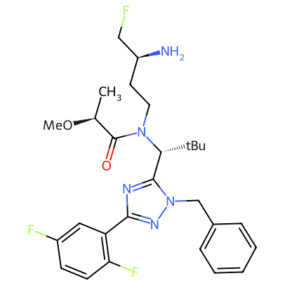 CO[C@@H](C)C(=O)N(CC[C@H](N)CF)[C@@H](c1nc(-c2cc(F)ccc2F)nn1Cc1ccccc1)C(C)(C)C